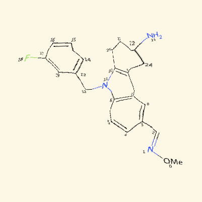 CON=Cc1ccc2c(c1)c1c(n2Cc2cccc(F)c2)CCC(N)C1